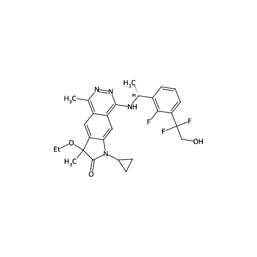 CCOC1(C)C(=O)N(C2CC2)c2cc3c(N[C@H](C)c4cccc(C(F)(F)CO)c4F)nnc(C)c3cc21